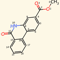 COC(=O)c1ccc2c(c1)[nH]c(=O)c1ccccc12